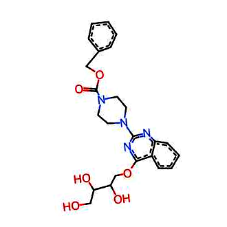 O=C(OCc1ccccc1)N1CCN(c2nc(OCC(O)C(O)CO)c3ccccc3n2)CC1